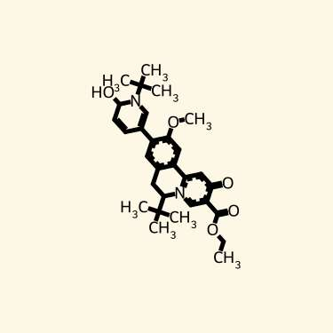 CCOC(=O)c1cn2c(cc1=O)-c1cc(OC)c(C3=CN(C(C)(C)C)C(O)C=C3)cc1CC2C(C)(C)C